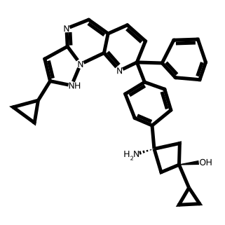 N[C@]1(c2ccc(C3(c4ccccc4)C=CC4=CN=C5C=C(C6CC6)NN5C4=N3)cc2)C[C@](O)(C2CC2)C1